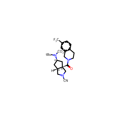 CC(C)(C)N(C(=O)O)[C@@H]1C[C@H]2CN(C#N)C[C@@]2(C(=O)N2CCc3ccc(C(F)(F)F)cc3C2)C1